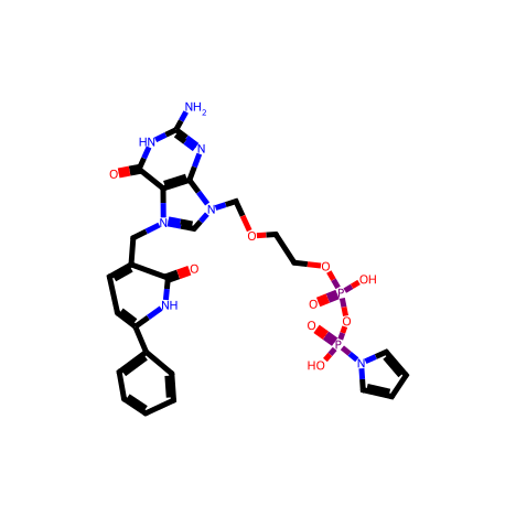 Nc1nc2c(c(=O)[nH]1)[n+](Cc1ccc(-c3ccccc3)[nH]c1=O)cn2COCCOP(=O)(O)OP(=O)(O)n1cccc1